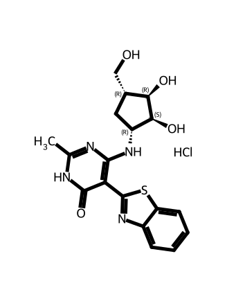 Cc1nc(N[C@@H]2C[C@H](CO)[C@@H](O)[C@H]2O)c(-c2nc3ccccc3s2)c(=O)[nH]1.Cl